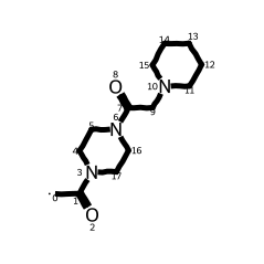 [CH2]C(=O)N1CCN(C(=O)CN2CCCCC2)CC1